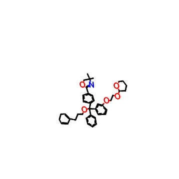 CC1(C)COC(c2ccc(C(OCCCC3=CCCC=C3)(c3ccccc3)c3cccc(OCCOC4CCCCO4)c3)cc2)=N1